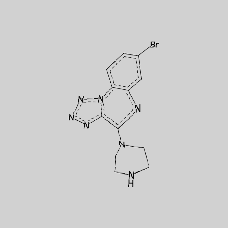 Brc1ccc2c(c1)nc(N1CCNCC1)c1nnnn12